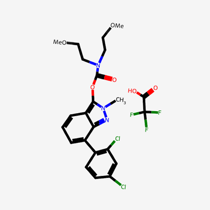 COCCN(CCOC)C(=O)Oc1c2cccc(-c3ccc(Cl)cc3Cl)c2nn1C.O=C(O)C(F)(F)F